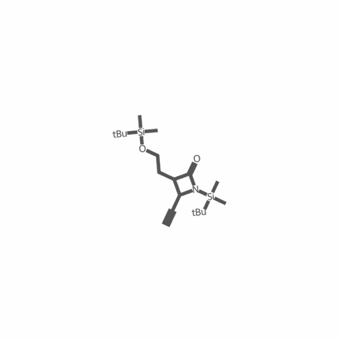 C#CC1C(CCO[Si](C)(C)C(C)(C)C)C(=O)N1[Si](C)(C)C(C)(C)C